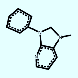 CN1CN(c2ccccc2)c2ncccc21